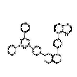 c1ccc(-c2nc(-c3ccccc3)nc(-c3ccc(-c4ccc5cccc(-c6ccc(-c7cccc8cccnc78)cc6)c5c4)cc3)n2)cc1